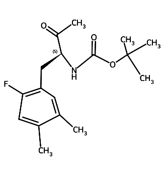 CC(=O)[C@H](Cc1cc(C)c(C)cc1F)NC(=O)OC(C)(C)C